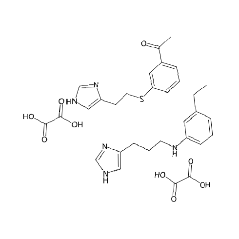 CC(=O)c1cccc(SCCc2c[nH]cn2)c1.CCc1cccc(NCCCc2c[nH]cn2)c1.O=C(O)C(=O)O.O=C(O)C(=O)O